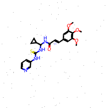 COc1cc(/C=C/C(=O)NC(NC(=S)Nc2cccnc2)C2CC2)cc(OC)c1OC